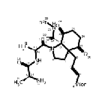 CCCCCCCCCC=CCC12CCN(C(=O)[C@H](C)NC(=O)[C@H](C)N)[C@@]1(C(=O)NCCC)C(=O)CCC2=O